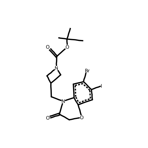 CC(C)(C)OC(=O)N1CC(CN2C(=O)COc3cc(I)c(Br)cc32)C1